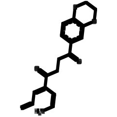 C=C/C=C(\C=C/N)C(=O)CCC(=O)c1ccc2c(c1)OCCS2